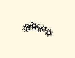 Cc1cc(OCC2CCC(c3ccccn3)N2)ccc1CC1(C(=O)O)OCCCO1